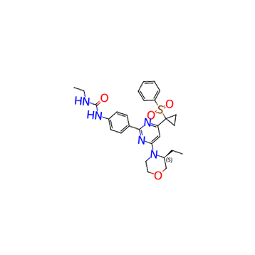 CCNC(=O)Nc1ccc(-c2nc(N3CCOC[C@@H]3CC)cc(C3(S(=O)(=O)c4ccccc4)CC3)n2)cc1